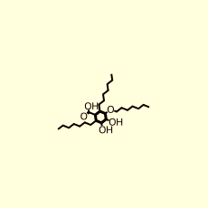 CCCCCCCOc1c(O)c(O)c(CCCCCCC)c(C(=O)O)c1CCCCCCC